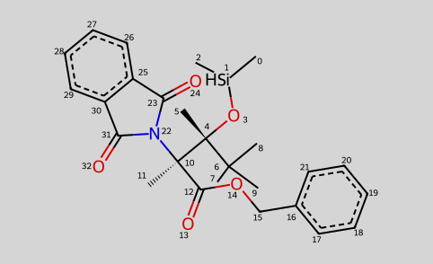 C[SiH](C)O[C@](C)(C(C)(C)C)[C@@](C)(C(=O)OCc1ccccc1)N1C(=O)c2ccccc2C1=O